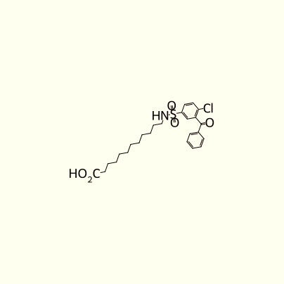 O=C(O)CCCCCCCCCCCNS(=O)(=O)c1ccc(Cl)c(C(=O)c2ccccc2)c1